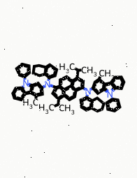 Cc1cc(N(c2cccc3c2CCCC3)c2cc(C(C)C)c3ccc4c(N(c5cc(C)c6c7ccccc7n(-c7ccccc7)c6c5)c5cccc6c5CCCC6)cc(C(C)C)c5ccc2c3c54)cc2c1c1ccccc1n2-c1ccccc1